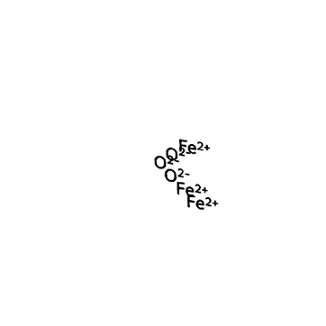 [Fe+2].[Fe+2].[Fe+2].[O-2].[O-2].[O-2]